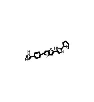 CN1CCCC1c1ncc(-c2cc3sc(-c4ccc(-c5cnc[nH]5)cc4)cc3s2)[nH]1